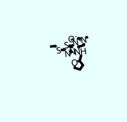 CCSc1nnc([N+]2([O-])CN(C)CC2NCC2CCCO2)s1